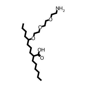 CCCCCCC(CCCC(CCCC)OCCOCCOCCN)C(=O)O